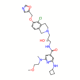 COCCN(C)c1cc(C(=O)NC[C@H](O)CN2CCc3c(ccc(OCc4cnco4)c3Cl)C2)cc(NC2CCC2)n1